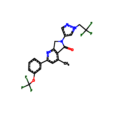 Cc1cc(-c2cccc(OC(F)(F)F)c2)nc2c1C(=O)N(c1cnn(CC(F)(F)F)c1)C2